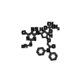 CCCSc1nc(Cl)c2nnn([C@@H]3C[C@H](OCC(=O)N(c4ccccc4)c4ccccc4)[C@H]4OC(C)(C)O[C@H]43)c2n1